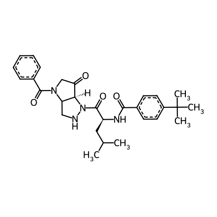 CC(C)C[C@H](NC(=O)c1ccc(C(C)(C)C)cc1)C(=O)N1NCC2[C@H]1C(=O)CN2C(=O)c1ccccc1